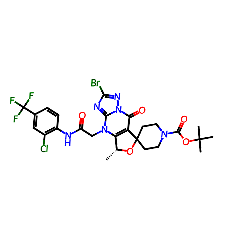 C[C@H]1OC2(CCN(C(=O)OC(C)(C)C)CC2)c2c1n(CC(=O)Nc1ccc(C(F)(F)F)cc1Cl)c1nc(Br)nn1c2=O